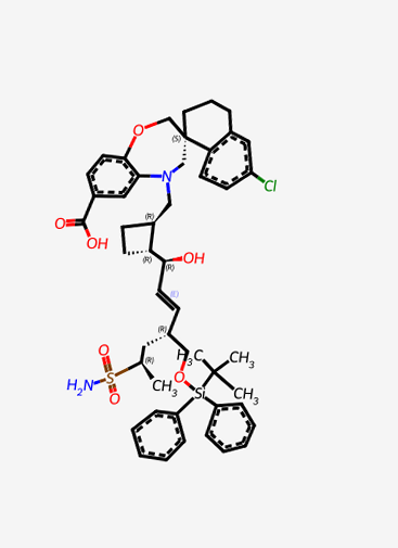 C[C@H](C[C@H](/C=C/[C@H](O)[C@@H]1CC[C@H]1CN1C[C@@]2(CCCc3cc(Cl)ccc32)COc2ccc(C(=O)O)cc21)CO[Si](c1ccccc1)(c1ccccc1)C(C)(C)C)S(N)(=O)=O